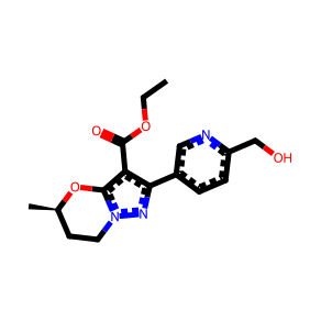 CCOC(=O)c1c(-c2ccc(CO)nc2)nn2c1O[C@H](C)CC2